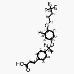 O=C(O)/C=C/c1ccc(C(F)(F)Oc2ccc(OCCCC(F)(F)F)c(F)c2)cc1